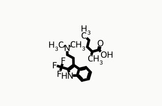 CCCC(C)C(=O)O.CN(C)CCc1c(C(F)(F)F)[nH]c2ccccc12